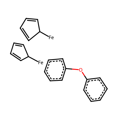 [Fe][CH]1C=CC=C1.[Fe][CH]1C=CC=C1.c1ccc(Oc2ccccc2)cc1